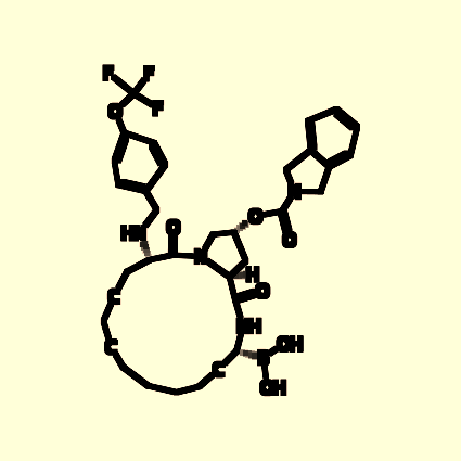 O=C1N[C@H](B(O)O)CCCCCCCCC[C@H](NCc2ccc(OC(F)(F)F)cc2)C(=O)N2C[C@H](OC(=O)N3Cc4ccccc4C3)C[C@@H]12